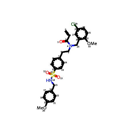 C=CC(=O)N(CCc1ccc(S(=O)(=O)NCc2ccc(OC)cc2)cc1)Cc1cc(Cl)ccc1OC